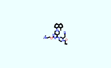 C=CC(=O)N1CCN(c2nc(OCCN(C)C)nc3c2CCN(c2cccc4cccc(C)c24)C3)CC1CC#N